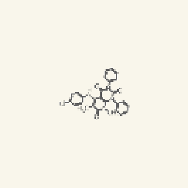 Cc1c(Nc2ccc(Cl)cc2)c2c(=O)n(-c3ccccc3)c(=O)n(-c3ccccc3)c2n(C)c1=O